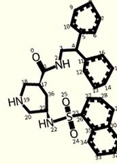 O=C(NCC(c1ccccc1)c1ccccc1)[C@@H]1CNC[C@H](NS(=O)(=O)c2cccc3ccccc23)C1